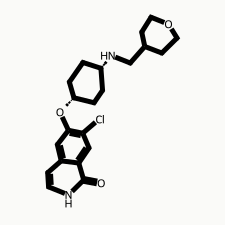 O=c1[nH]ccc2cc(O[C@H]3CC[C@@H](NCC4CCOCC4)CC3)c(Cl)cc12